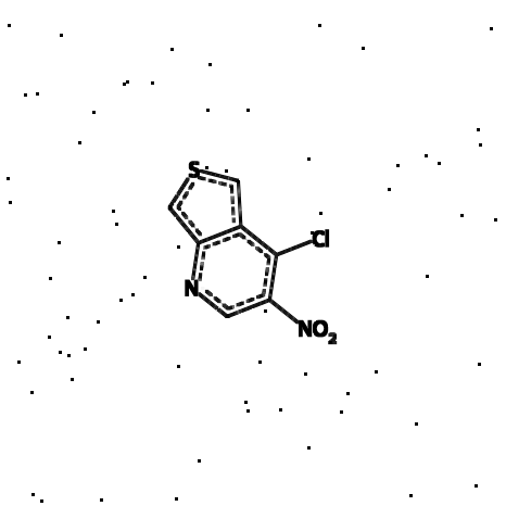 O=[N+]([O-])c1cnc2cscc2c1Cl